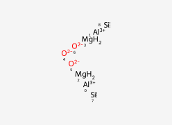 [Al+3].[Al+3].[MgH2].[MgH2].[O-2].[O-2].[O-2].[Si].[Si]